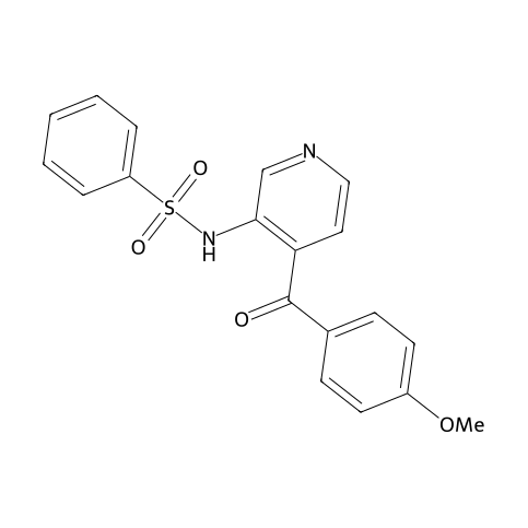 COc1ccc(C(=O)c2ccncc2NS(=O)(=O)c2ccccc2)cc1